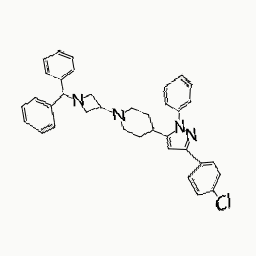 Clc1ccc(-c2cc(C3CCN(C4CN(C(c5ccccc5)c5ccccc5)C4)CC3)n(-c3ccccc3)n2)cc1